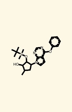 CC1CC(n2ccc3c(Oc4ccccc4)ncnc32)C(O[Si](C)(C)C(C)(C)C)C1O